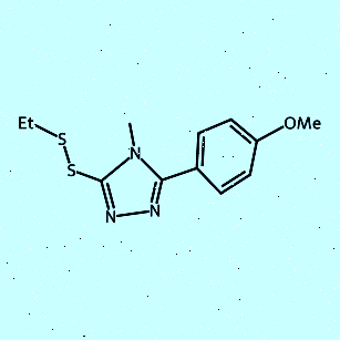 CCSSc1nnc(-c2ccc(OC)cc2)n1C